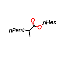 CCCCCCOC(=O)C(C)CCCCC